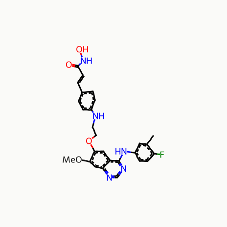 COc1cc2ncnc(Nc3ccc(F)c(C)c3)c2cc1OCCNc1ccc(/C=C/C(=O)NO)cc1